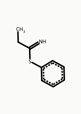 CCC(=N)Sc1ccccc1